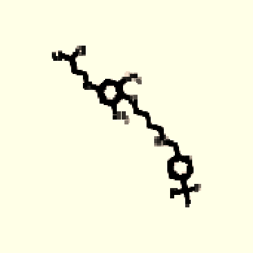 Cc1cc(OCC=C(Cl)Cl)cc(C)c1OCCCCNCc1ccc(C(F)(F)F)cn1